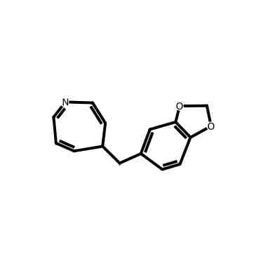 [CH](c1ccc2c(c1)OCO2)C1C=CC=NC=C1